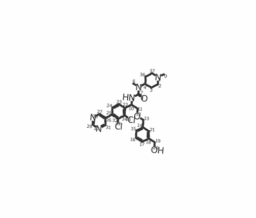 CN1CCC(N(C)C(=O)NC(COCc2cccc(CO)c2)c2ccc(-c3cncnc3)c(Cl)c2Cl)CC1